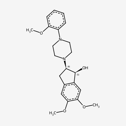 COc1cc2c(cc1OC)[C@H](O)[C@H](N1CCN(c3ccccc3OC)CC1)C2